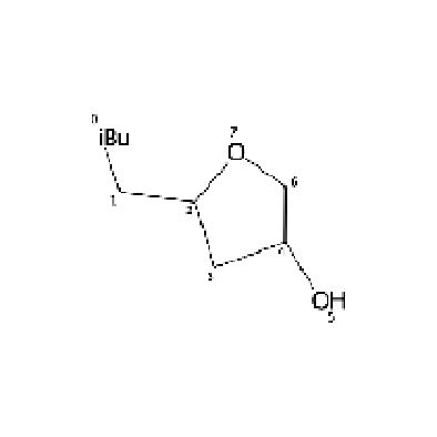 CCC(C)CC1CC(O)CO1